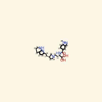 Cn1ncc2cc(C(=O)N[C@@H](CCN3CC[C@@H](CCc4ccc5c(n4)NCCC5)C3)C(O)O)ccc21